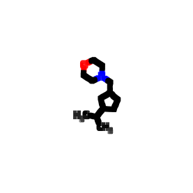 CC(C)C1CCC(CN2CCOCC2)C1